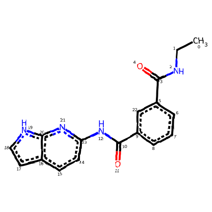 CCNC(=O)c1cccc(C(=O)Nc2ccc3cc[nH]c3n2)c1